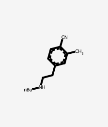 CCCCNCCc1ccc(C#N)c(C)c1